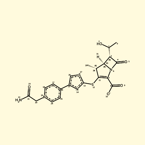 CC(O)[C@@H]1C(=O)N2C(C(=O)[O-])=C(Sc3nc(-c4cc[n+](CC(N)=O)cc4)cs3)[C@H](C)[C@@H]12